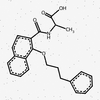 CC(NC(=O)c1ccc2ccccc2c1OCCCc1ccccc1)C(=O)O